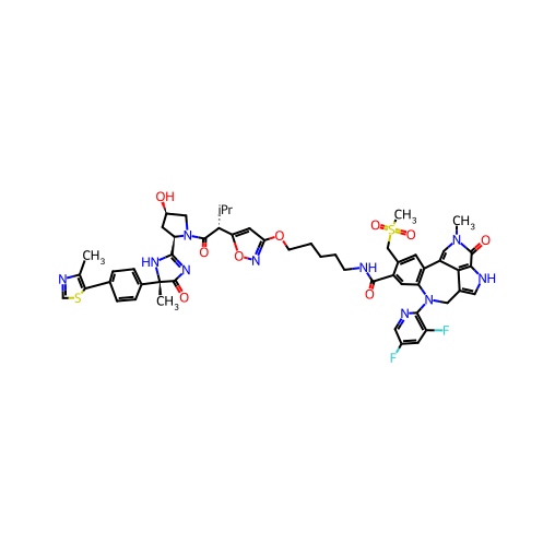 Cc1ncsc1-c1ccc([C@]2(C)NC([C@H]3C[C@@H](O)CN3C(=O)[C@@H](c3cc(OCCCCCNC(=O)c4cc5c(cc4CS(C)(=O)=O)-c4cn(C)c(=O)c6[nH]cc(c46)CN5c4ncc(F)cc4F)no3)C(C)C)=NC2=O)cc1